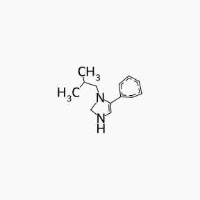 CC(C)CN1CNC=C1c1ccccc1